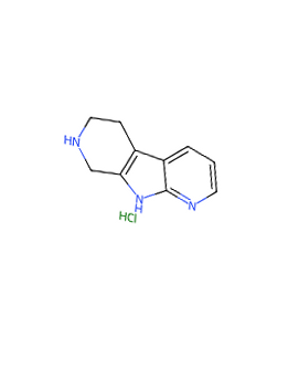 Cl.c1cnc2[nH]c3c(c2c1)CCNC3